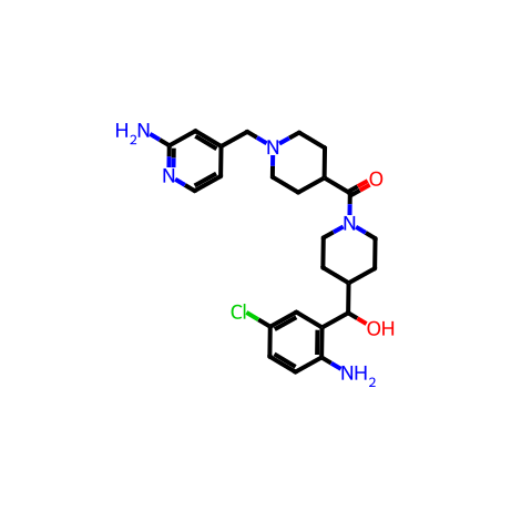 Nc1cc(CN2CCC(C(=O)N3CCC(C(O)c4cc(Cl)ccc4N)CC3)CC2)ccn1